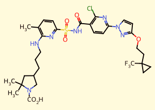 Cc1ccc(S(=O)(=O)NC(=O)c2ccc(-n3ccc(OCCC4(C(F)(F)F)CC4)n3)nc2Cl)nc1NCCCC1CN(C(=O)O)C(C)(C)C1